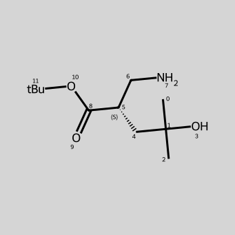 CC(C)(O)C[C@@H](CN)C(=O)OC(C)(C)C